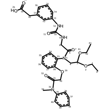 CCOC(CN(C(=O)CNC(=O)Nc1cccc(CC(=O)O)c1)c1ccccc1OCC(=O)N(C)c1ccccc1)OCC